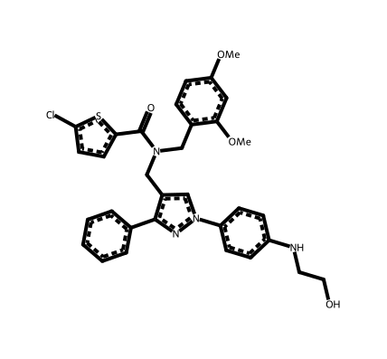 COc1ccc(CN(Cc2cn(-c3ccc(NCCO)cc3)nc2-c2ccccc2)C(=O)c2ccc(Cl)s2)c(OC)c1